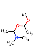 CCOC(C)OC(C)N(C)C